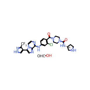 O=C(N[C@@H]1CCNC1)N1CCN(C(=O)c2ccc(Nc3nccn4c(-c5c[nH]nc5C(F)(F)F)cnc34)cc2Cl)CC1.O=CO